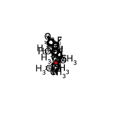 C[C@@H]1C[C@H]2[C@@H]3C[C@H](F)C4=CC(=O)C=C[C@]4(C)[C@@]3(F)[C@@H](O)C[C@]2(C)[C@]1(OC(=O)CC(C)(C)C)C(=O)OCC#N